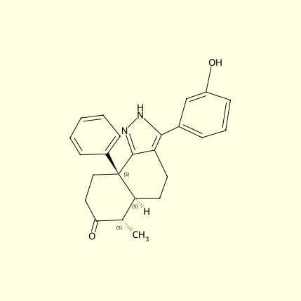 C[C@@H]1C(=O)CC[C@]2(c3ccccc3)c3n[nH]c(-c4cccc(O)c4)c3CC[C@@H]12